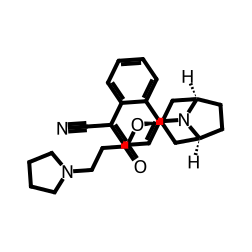 N#Cc1ccc(N2[C@@H]3CC[C@H]2C[C@@H](OC(=O)CCN2CCCC2)C3)c2ccccc12